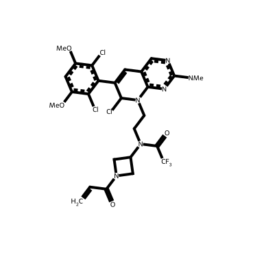 C=CC(=O)N1CC(N(CCN2c3nc(NC)ncc3C=C(c3c(Cl)c(OC)cc(OC)c3Cl)C2Cl)C(=O)C(F)(F)F)C1